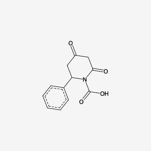 O=C1CC(=O)N(C(=O)O)C(c2ccccc2)C1